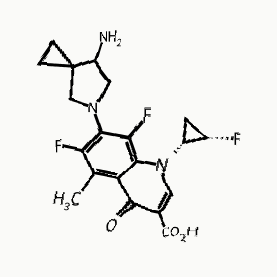 Cc1c(F)c(N2CC(N)C3(CC3)C2)c(F)c2c1c(=O)c(C(=O)O)cn2[C@@H]1C[C@@H]1F